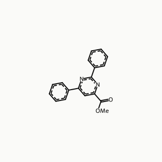 COC(=O)c1cc(-c2ccccc2)nc(-c2ccccc2)n1